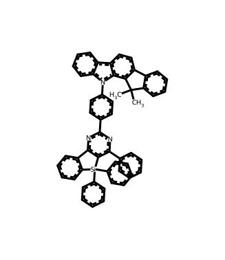 CC1(C)c2ccccc2-c2ccc3c4ccccc4n(-c4ccc(-c5nc(-c6ccccc6)c6c(n5)-c5ccccc5[Si]6(c5ccccc5)c5ccccc5)cc4)c3c21